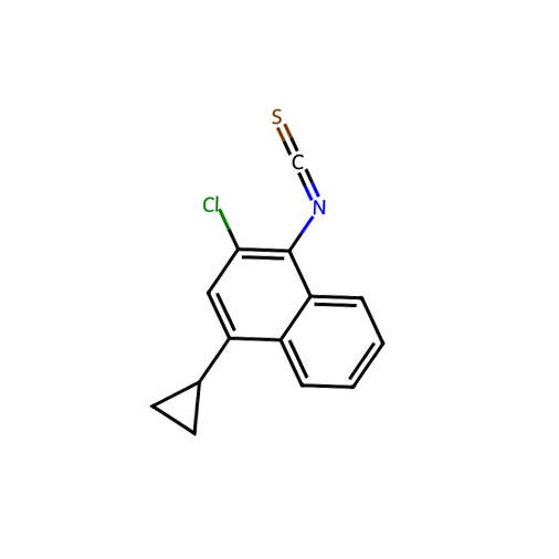 S=C=Nc1c(Cl)cc(C2CC2)c2ccccc12